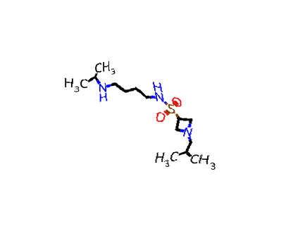 CC(C)CN1CC(S(=O)(=O)NCCCCNC(C)C)C1